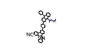 C/C=C\C=C(/C)c1c2ccccc2c(-c2ccccc2)c2ccc(C3=CCC(c4ccc5c(c4)c4ccc(C#N)cc4n4c6ccccc6nc54)C=C3)cc12